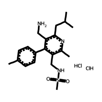 Cc1ccc(-c2c(CNS(C)(=O)=O)c(C)nc(CC(C)C)c2CN)cc1.Cl.Cl